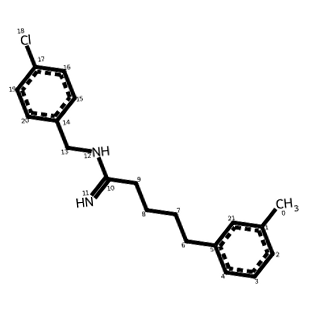 Cc1cccc(CCCCC(=N)NCc2ccc(Cl)cc2)c1